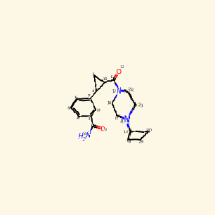 NC(=O)c1cccc(C2CC2C(=O)N2CCN(C3CCC3)CC2)c1